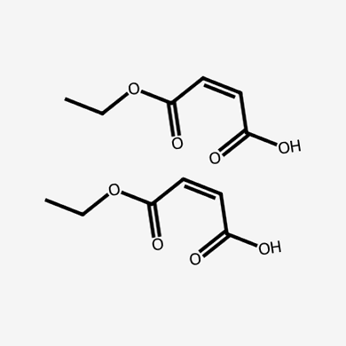 CCOC(=O)/C=C\C(=O)O.CCOC(=O)/C=C\C(=O)O